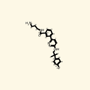 CC(C)(CNc1ccc(-c2cccc(C(=O)NCCCN)c2)nn1)c1ccc(F)cc1